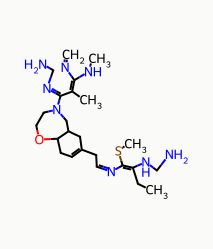 C=N/C(NC)=C(C)\C(=N/CN)N1CCOC2CC=C(C/C=N\C(SC)=C(/CC)NCN)CC2C1